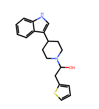 OC(Cc1cccs1)N1CCC(c2c[nH]c3ccccc23)CC1